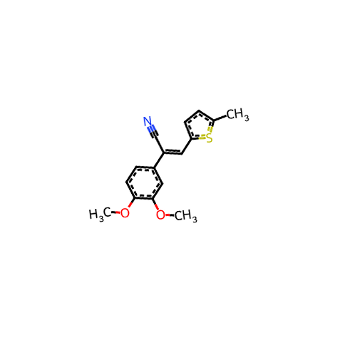 COc1ccc(C(C#N)=Cc2ccc(C)s2)cc1OC